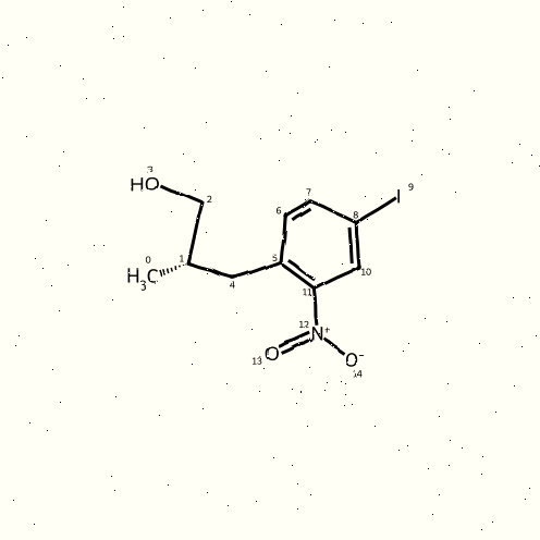 C[C@H](CO)Cc1ccc(I)cc1[N+](=O)[O-]